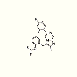 Cc1cc(F)ncc1-c1cn2c(Cc3ccccc3OC(F)F)c(C)nc2cn1